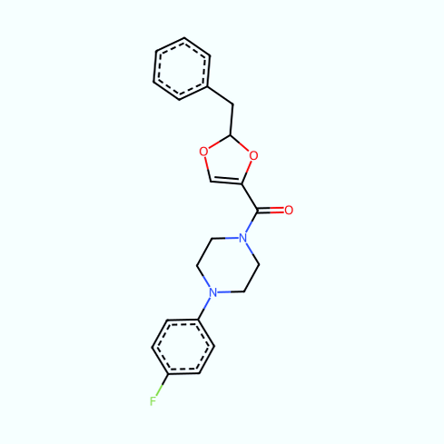 O=C(C1=COC(Cc2ccccc2)O1)N1CCN(c2ccc(F)cc2)CC1